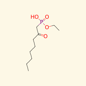 CCCCCCC(=O)CP(=O)(O)OCC